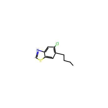 CCCCc1cc2s[c]nc2cc1Cl